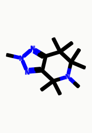 CN1C(C)(C)c2nn(C)nc2C(C)(C)C1(C)C